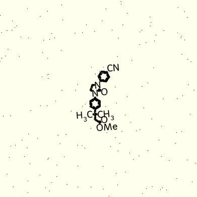 COC(=O)CC(C)(C)c1ccc(N2CCN(c3ccc(C#N)cc3)C2=O)cc1